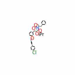 CC(C)OC(Cc1cccc(OCC#Cc2ccc(Cl)cc2)c1)C(=O)N1C(=O)OCC1Cc1ccccc1